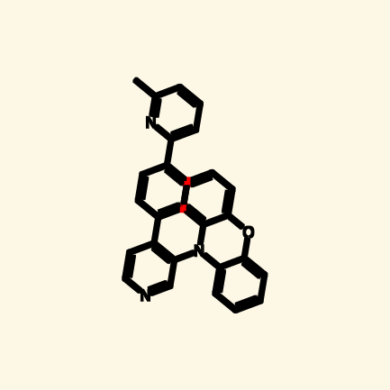 Cc1cccc(-c2ccc(-c3ccncc3N3c4ccccc4Oc4ccccc43)cc2)n1